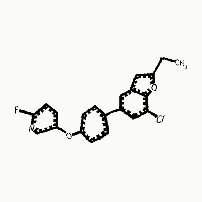 CCc1cc2cc(-c3ccc(Oc4ccc(F)nc4)cc3)cc(Cl)c2o1